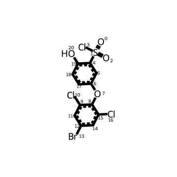 O=S(=O)(Cl)c1cc(Oc2c(Cl)cc(Br)cc2Cl)ccc1O